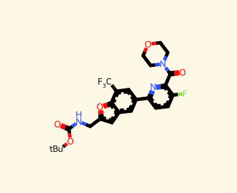 CC(C)(C)OC(=O)NCc1cc2cc(-c3ccc(F)c(C(=O)N4CCOCC4)n3)cc(C(F)(F)F)c2o1